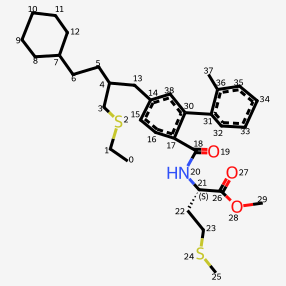 CCSCC(CCC1CCCCC1)Cc1ccc(C(=O)N[C@@H](CCSC)C(=O)OC)c(-c2ccccc2C)c1